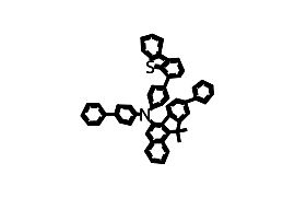 CC1(C)c2cc(-c3ccccc3)ccc2-c2c(N(c3ccc(-c4ccccc4)cc3)c3ccc(-c4cccc5c4sc4ccccc45)cc3)cc3ccccc3c21